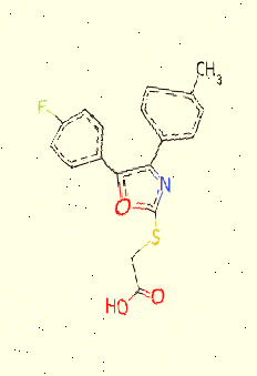 Cc1ccc(-c2nc(SCC(=O)O)oc2-c2ccc(F)cc2)cc1